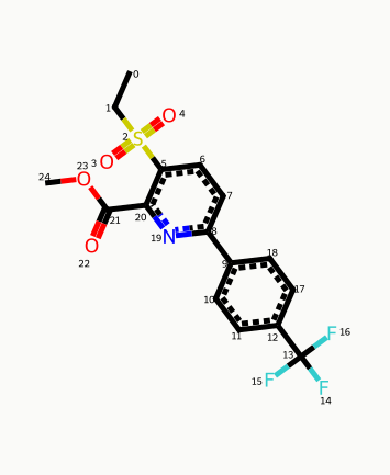 CCS(=O)(=O)c1ccc(-c2ccc(C(F)(F)F)cc2)nc1C(=O)OC